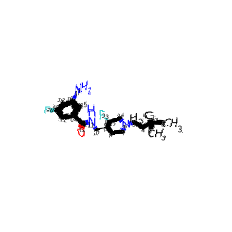 CC(C)(C)CCN1CC[C@@H](CNC(=O)c2cc(N)cc(F)c2)[C@@H](F)C1